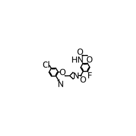 N#Cc1ccc(Cl)cc1OCC1CN(C(=O)c2cc3c(cc2F)OCC(=O)N3)C1